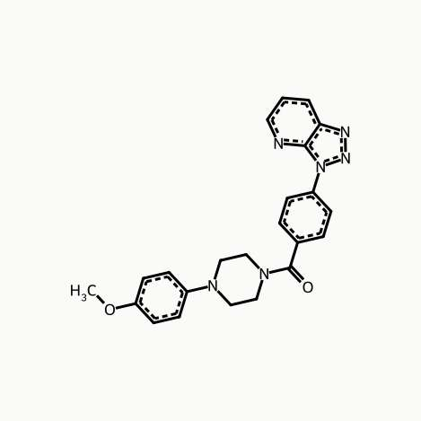 COc1ccc(N2CCN(C(=O)c3ccc(-n4nnc5cccnc54)cc3)CC2)cc1